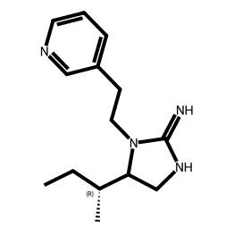 CC[C@@H](C)C1CNC(=N)N1CCc1cccnc1